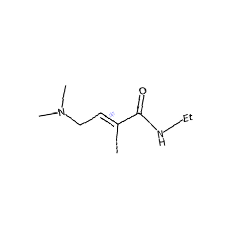 CCNC(=O)/C(C)=C/CN(C)C